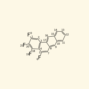 Fc1[c]c2c(c(F)cc3cc4ccccc4cc32)c(F)c1F